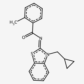 Cc1ccccc1C(=O)/N=c1\sc2ccccc2n1CC1CC1